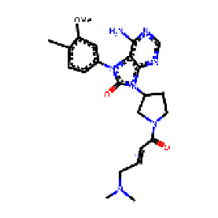 COc1cc(-n2c(=O)n(C3CCN(C(=O)/C=C/CN(C)C)C3)c3ncnc(N)c32)ccc1C